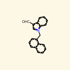 O=Cc1cn(Cc2cccc3ccccc23)c2ccccc12